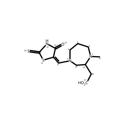 CN1CCCN(C=C2SC(=S)NC2=O)CC1CC(=O)O